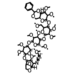 COCC1O[C@@H](O[C@H]2C(OC)C(OC)[C@@H](O[C@H]3C(OC)C(OC)[C@H](O[C@H]4C5CO[C@H](O5)C(N=[N+]=[N-])[C@@H]4OC)O[C@H]3COC)O[C@H]2COC)C(OC)[C@@H](OC)[C@@H]1O[C@@H]1OC2COC(c3ccccc3)O[C@H]2[C@H](OC)C1OC